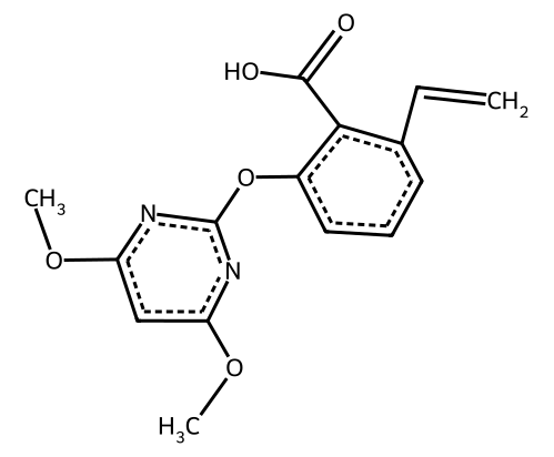 C=Cc1cccc(Oc2nc(OC)cc(OC)n2)c1C(=O)O